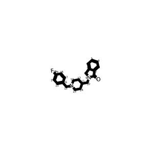 O=C1c2ccccc2CN1CC1CCN(Cc2ccc(F)cc2)CC1